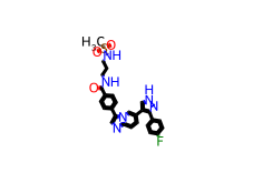 CS(=O)(=O)NCCCNC(=O)c1ccc(-c2cnc3ccc(-c4c[nH]nc4-c4ccc(F)cc4)cn23)cc1